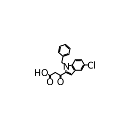 O=C(O)CC(=O)c1cc2cc(Cl)ccc2n1Cc1ccccc1